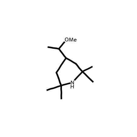 COC(C)C1CC(C)(C)NC(C)(C)C1